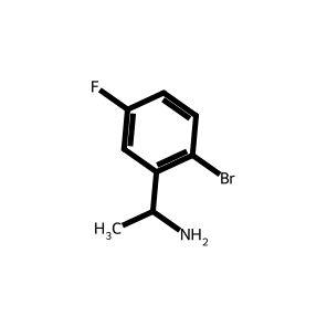 CC(N)c1cc(F)ccc1Br